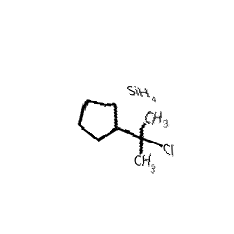 CC(C)(Cl)C1CCCC1.[SiH4]